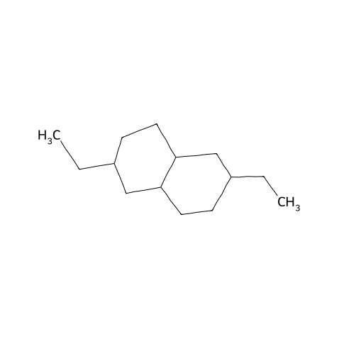 CCC1CCC2CC(CC)CCC2C1